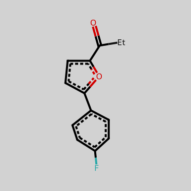 CCC(=O)c1ccc(-c2ccc(F)cc2)o1